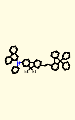 CCC1(CC)c2cc(/C=C/c3cccc4c3-c3ccccc3C4(c3ccccc3)c3ccccc3)ccc2-c2ccc(N(c3ccccc3)c3cc4ccccc4c4ccccc34)cc21